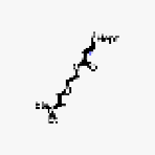 CCCCCCC/C=C/C(=O)OCCOCCN(CC)CC